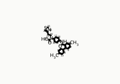 Cc1ccc(-c2ccc(C)cc2C(=O)Nc2ccc(N(CCc3cscn3)C(=O)O)cc2)cc1